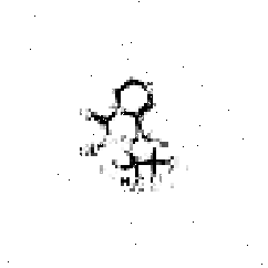 CC(C)(C)OC(=O)N1CCOC=C1B1OC(C)(C)C(C)(C)O1